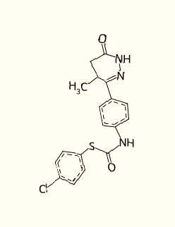 CC1CC(=O)NN=C1c1ccc(NC(=O)Sc2ccc(Cl)cc2)cc1